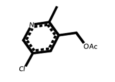 CC(=O)OCc1cc(Cl)cnc1C